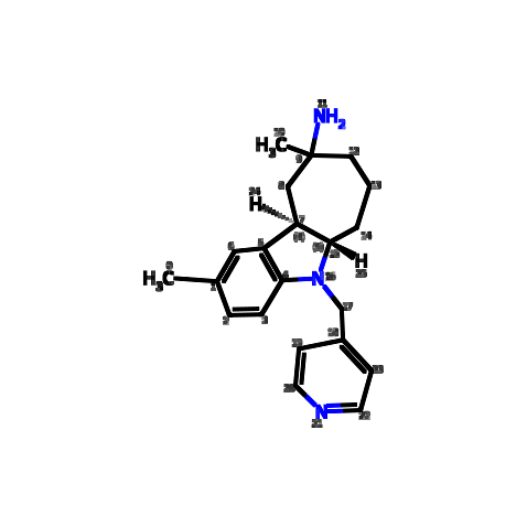 Cc1ccc2c(c1)[C@H]1CC(C)(N)CCC[C@@H]1N2Cc1ccncc1